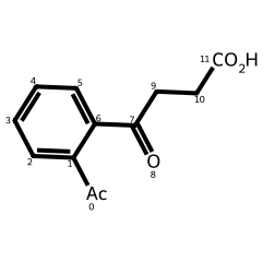 CC(=O)c1ccccc1C(=O)CCC(=O)O